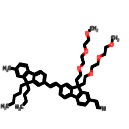 [3H]/C=C/c1ccc2c(c1)C(CCOCCOCCOC)(CCOCCOCCOC)c1cc(/C=C/c3ccc4c(c3)C(CCCC)(CCCCC)c3cc(C)ccc3-4)ccc1-2